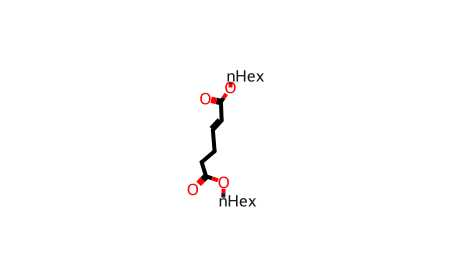 CCCCCCOC(=O)C=CCCC(=O)OCCCCCC